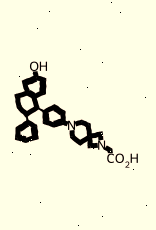 O=C(O)CN1CC2(CCN(c3ccc([C@@H]4c5ccc(O)cc5CC[C@@H]4c4ccccc4)cc3)CC2)C1